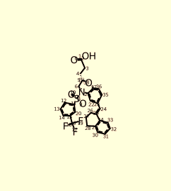 O=C(O)CC[C@H]1CN(S(=O)(=O)c2cccc(C(F)(F)F)c2)c2cc(C=C3CCCc4ccccc43)ccc2O1